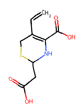 C=CC1=C(C(=O)O)NC(CC(=O)O)SC1